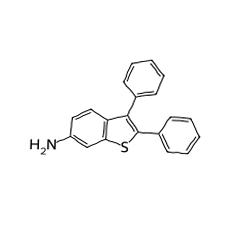 Nc1ccc2c(-c3ccccc3)c(-c3ccccc3)sc2c1